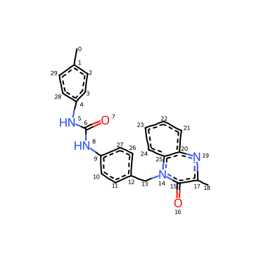 Cc1ccc(NC(=O)Nc2ccc(Cn3c(=O)c(C)nc4ccccc43)cc2)cc1